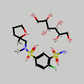 CN(CC1(C)CCCO1)S(=O)(=O)c1ccc(Cl)c(S(N)(=O)=O)c1.OC[C@@H](O)[C@@H](O)[C@H](O)[C@H](O)CO